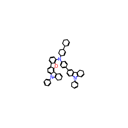 C1=CCCC(n2c3c(c4cc(-c5ccc(N(c6cccc7c6oc6c7ccc7c6c6c(n7-c7ccccc7)CCC=C6)C6C=CC(C7C=CCCC7)CC6)cc5)ccc42)CCC=C3)=C1